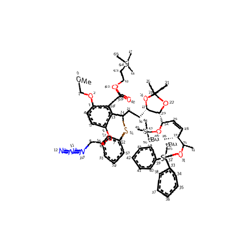 COCOc1ccc(OCCN=[N+]=[N-])c(C(CC[C@@H]2OC(C)(C)O[C@@H]2C(/C=C\[C@@H](C)C(C)O[Si](c2ccccc2)(c2ccccc2)C(C)(C)C)O[Si](C)(C)C(C)(C)C)Sc2ccccc2)c1C(=O)OCC[Si](C)(C)C